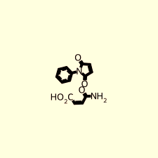 NC(=O)/C=C\C(=O)O.O=C1C=CC(=O)N1c1ccccc1